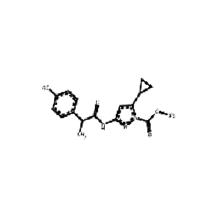 CC(C(=O)Nc1cc(C2CC2)n(C(=O)OC(C)(C)C)n1)c1ccc(C#N)cc1